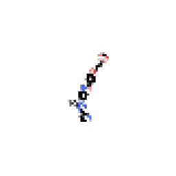 N#Cc1nc(-c2cccnc2)nn1-c1ccc(NC(=O)c2ccc(OCCCC3OCCO3)cc2)cc1